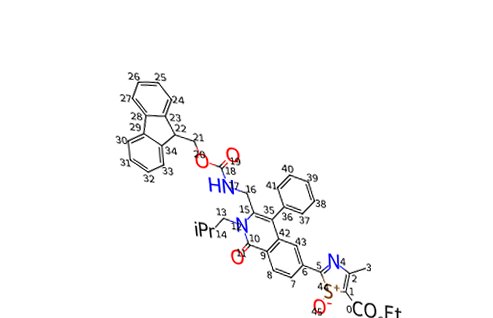 CCOC(=O)c1c(C)nc(-c2ccc3c(=O)n(CC(C)C)c(CNC(=O)OCC4c5ccccc5-c5ccccc54)c(-c4ccccc4)c3c2)[s+]1[O-]